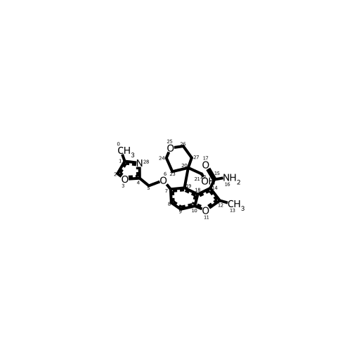 Cc1coc(COc2ccc3oc(C)c(C(N)=O)c3c2C2(CO)CCOCC2)n1